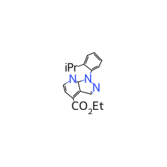 CCOC(=O)c1ccnc2c1cnn2-c1ccccc1C(C)C